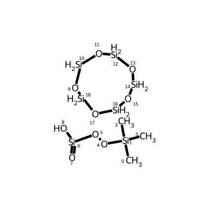 C[Si](C)(C)OO[Si](=O)O.O1[SiH2]O[SiH2]O[SiH2]O[SiH2]O[SiH2]1